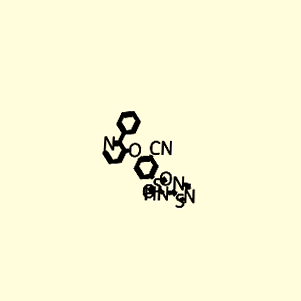 N#Cc1cc(S(=O)(=O)Nc2ncns2)ccc1Oc1cccnc1-c1ccccc1